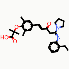 CCc1ccccc1/N=C(\CC(=O)/C=C/c1cc(C)c(OC(C)(C)C(=O)O)c(C)c1)N1CCCC1